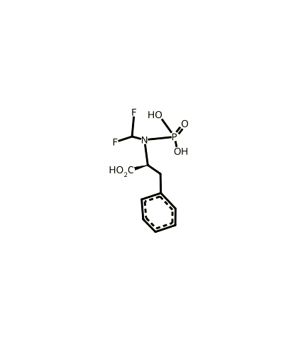 O=C(O)[C@H](Cc1ccccc1)N(C(F)F)P(=O)(O)O